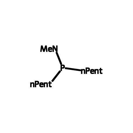 CCCCCP(CCCCC)NC